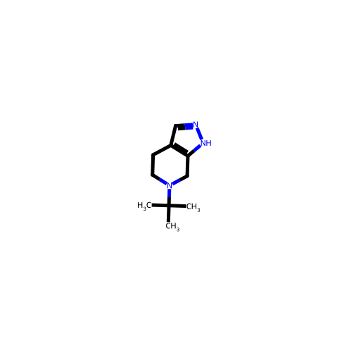 CC(C)(C)N1CCc2cn[nH]c2C1